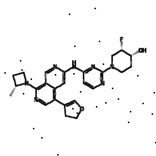 C[C@@H]1CCN1c1ncc(C2=COCC2)c2cc(Nc3ccnc(N4CC[C@@H](O)[C@@H](F)C4)n3)ncc12